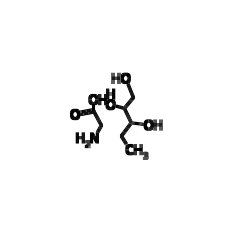 CCC(O)C(O)CO.NCC(=O)O